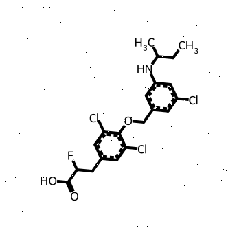 CCC(C)Nc1cc(Cl)cc(COc2c(Cl)cc(CC(F)C(=O)O)cc2Cl)c1